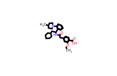 CCOc1cc(CC(=O)NC(CC2CCCCC2)c2ccccc2N2CCC(C)CC2)ccc1C(=O)O